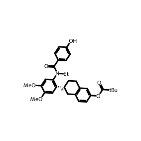 CCN(C(=O)c1ccc(O)cc1)c1cc(OC)c(OC)cc1[C@@H]1CCc2cc(OC(=O)C(C)(C)C)ccc2C1